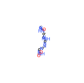 Cc1cc(-c2ccnc(Nc3ccc(N4CCN(CC5CCN(c6cccc(N7CCC(=O)NC7=O)c6)CC5)CC4)cc3)n2)ccc1CNC(=O)c1cnn(C(C)C)c1